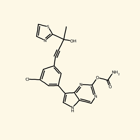 CC(O)(C#Cc1cc(Cl)cc(-c2c[nH]c3cnc(OC(N)=O)nc23)c1)c1nccs1